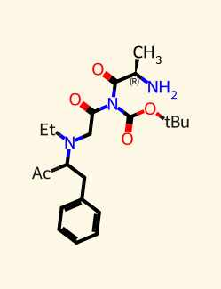 CCN(CC(=O)N(C(=O)OC(C)(C)C)C(=O)[C@@H](C)N)C(Cc1ccccc1)C(C)=O